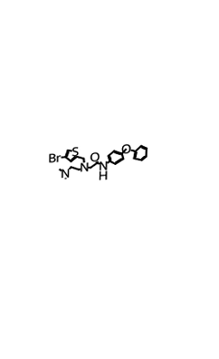 CN(C)CCN(CC(=O)Nc1ccc(Oc2ccccc2)cc1)Cc1cc(Br)cs1